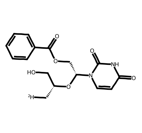 [2H]C[C@H](CO)O[C@H](COC(=O)c1ccccc1)n1ccc(=O)[nH]c1=O